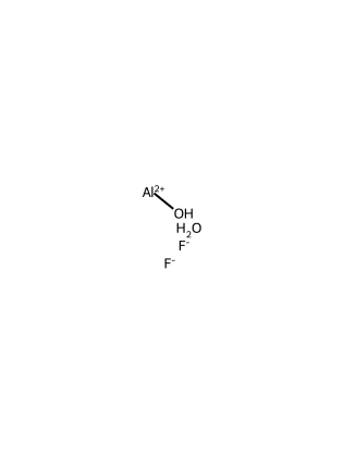 O.[F-].[F-].[OH][Al+2]